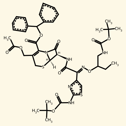 CCC(CNC(=O)OC(C)(C)C)ON=C(C(=O)N[C@@H]1C(=O)N2C(C(=O)OC(c3ccccc3)c3ccccc3)=C(COC(C)=O)CS[C@H]12)c1csc(NC(=O)OC(C)(C)C)n1